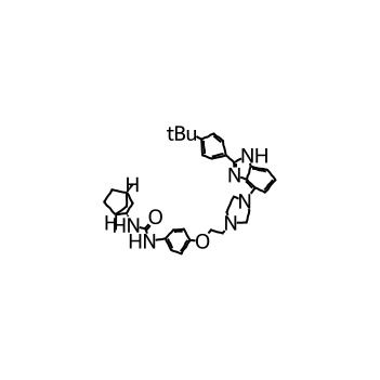 CC(C)(C)c1ccc(-c2nc3c(N4CCN(CCOc5ccc(NC(=O)N[C@H]6C[C@H]7CC[C@@H]6C7)cc5)CC4)cccc3[nH]2)cc1